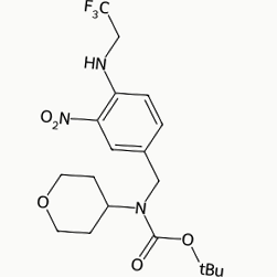 CC(C)(C)OC(=O)N(Cc1ccc(NCC(F)(F)F)c([N+](=O)[O-])c1)C1CCOCC1